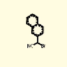 N#CC(Br)c1ccc2ccccc2c1